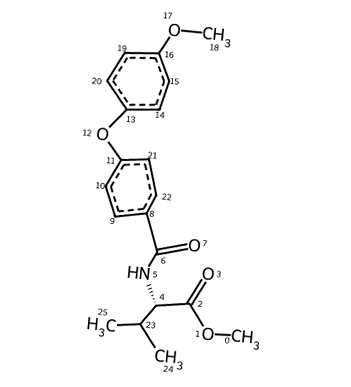 COC(=O)[C@@H](NC(=O)c1ccc(Oc2ccc(OC)cc2)cc1)C(C)C